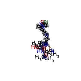 Cc1ncsc1-c1ccc([C@H](CC(=O)N(C)C)NC(=O)[C@@H]2C[C@@H](O)CN2C(=O)[C@@H](n2cc(C3CCC(CN4CCC(c5ccc6c(c5)-n5c(nc(=O)c7c(Cl)cccc75)C65CCCCC5)CC4)CC3)nn2)C(C)(C)C)cc1